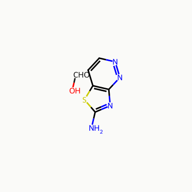 Nc1nc2nnccc2s1.O=CO